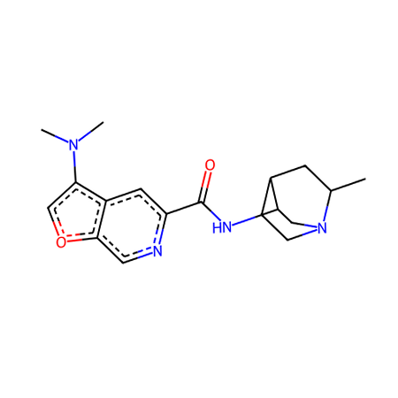 CC1CC2CCN1CC2NC(=O)c1cc2c(N(C)C)coc2cn1